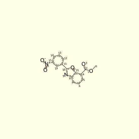 COC(=O)c1cccc2nc(-c3cccc([N+](=O)[O-])c3)oc12